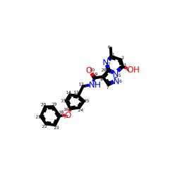 Cc1cc(O)n2ncc(C(=O)NCc3ccc(Oc4ccccc4)cc3)c2n1